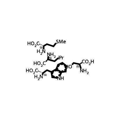 CC(C)C[C@H](N)C(=O)O.CSCC[C@H](N)C(=O)O.N[C@@H](CO)C(=O)O.N[C@@H](Cc1c[nH]c2ccccc12)C(=O)O